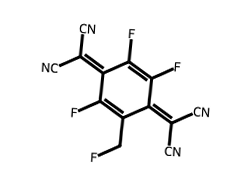 N#CC(C#N)=c1c(F)c(F)c(=C(C#N)C#N)c(CF)c1F